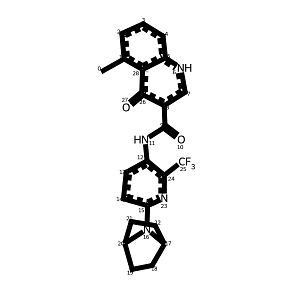 Cc1cccc2[nH]cc(C(=O)Nc3ccc(N4C5CCC4CC5)nc3C(F)(F)F)c(=O)c12